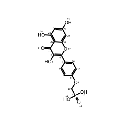 O=c1c(O)c(-c2ccc(OCP(=O)(O)O)cc2)oc2cc(O)cc(O)c12